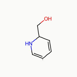 OCC1C=C[C]=CN1